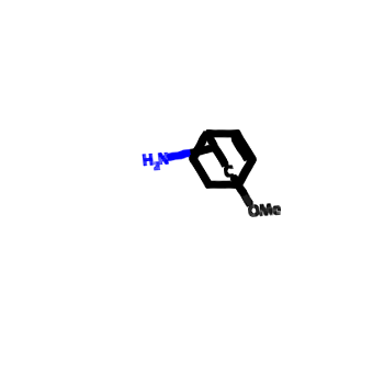 COC12C=CC(CC1)C(N)C2